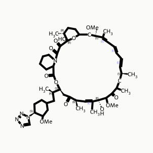 COC1C(=O)C(C)C[C@H](C)/C=C/C=C/C=C(\C)[C@@H](OC)CC2CC[C@@H](C)[C@@](O)(O2)C(=O)C(=O)N2CCCCC2C(=O)O[C@H]([C@H](C)CC2CC[C@H](n3cnnn3)C(OC)C2)CC(=O)[C@H](C)/C=C(\C)[C@H]1O